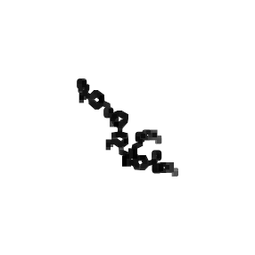 COCCn1c(Cc2ccc(-c3cccc(OCc4ccc(C5(F)COC5)cc4)n3)cc2F)nc2ccc(C(=O)OC)cc21